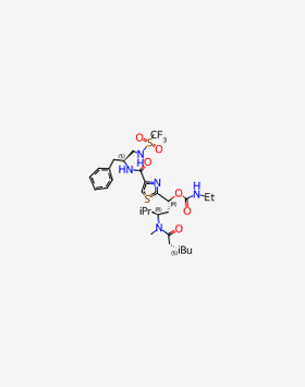 CCNC(=O)O[C@H](C[C@H](C(C)C)N(C)C(=O)C[C@@H](C)CC)c1nc(C(=O)N[C@H](CNS(=O)(=O)C(F)(F)F)Cc2ccccc2)cs1